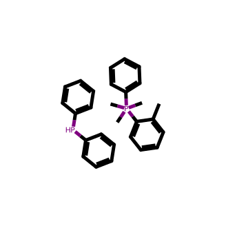 Cc1ccccc1P(C)(C)(C)c1ccccc1.c1ccc(Pc2ccccc2)cc1